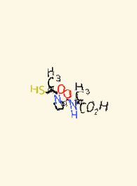 C[C@H](CS)C(=O)N1CCC[C@H]1C(=O)N[C@H](C)C(=O)O